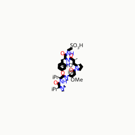 CC[C@H](C)[C@@H]([C@@H](CC(=O)N1CCC[C@H]1[C@H](OC)[C@@H](C)C(=O)N[C@@H](CC1=CC=CCC1)C(=O)NCCS(=O)(=O)O)OC)N(C)C(=O)[C@@H](NC(=O)[C@H](C(C)C)N(C)C)C(C)C